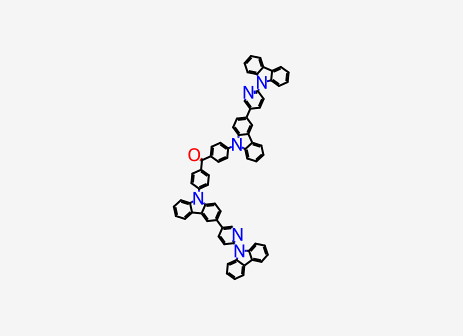 O=C(c1ccc(-n2c3ccccc3c3cc(-c4ccc(-n5c6ccccc6c6ccccc65)nc4)ccc32)cc1)c1ccc(-n2c3ccccc3c3cc(-c4ccc(-n5c6ccccc6c6ccccc65)nc4)ccc32)cc1